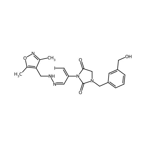 Cc1noc(C)c1CN/N=C\C(=C/I)N1C(=O)CN(Cc2cccc(CO)c2)C1=O